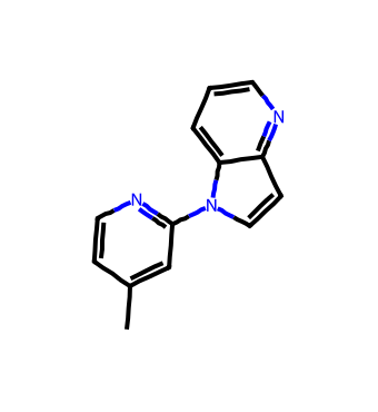 Cc1ccnc(-n2ccc3ncccc32)c1